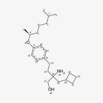 CC(C)CCC[C@H](C)Oc1ccc(CCC(N)(CO)CC2CCC2)cc1